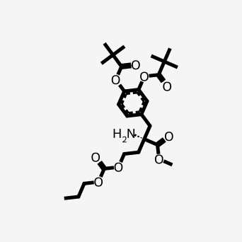 CCCOC(=O)OCC[C@@](N)(Cc1ccc(OC(=O)C(C)(C)C)c(OC(=O)C(C)(C)C)c1)C(=O)OC